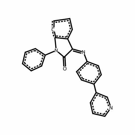 O=C1C(=Nc2ccc(-c3cccnc3)cc2)c2ccccc2N1c1ccccc1